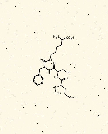 CSCCC(NC=O)C(=O)NC(CC(C)C)C(=O)NC(Cc1ccccc1)C(=O)NCCCCC(N)C(=O)O